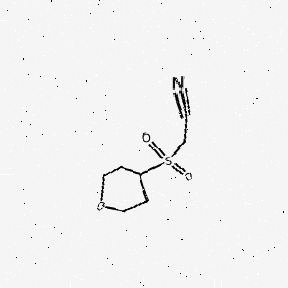 N#CCS(=O)(=O)C1CCOCC1